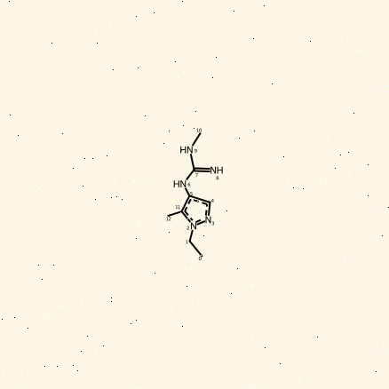 CCn1ncc(NC(=N)NC)c1C